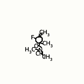 CCCN(CC(=O)C1(CC)CCC(F)C[C@](F)(CC)CC1)C(C)CC